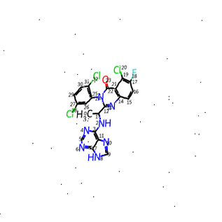 CC(Nc1ncnc2[nH]cnc12)c1nc2ccc(F)c(Cl)c2c(=O)n1-c1cc(Cl)ccc1Cl